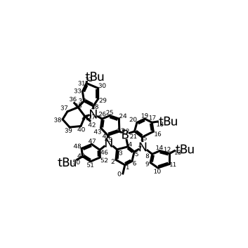 Cc1cc2c3c(c1)N(c1cccc(C(C)(C)C)c1)c1cc(C(C)(C)C)ccc1B3c1ccc(N3c4ccc(C(C)(C)C)cc4C4(C)CCCCC34C)cc1N2c1ccc(C(C)(C)C)cc1